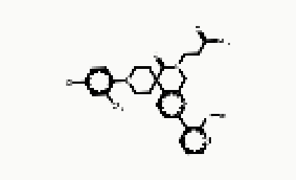 CCOc1ncccc1-c1ccc2c(n1)CN(CCC(N)=O)C(=O)C21CCN(c2ccc(Cl)cc2C(F)(F)F)CC1